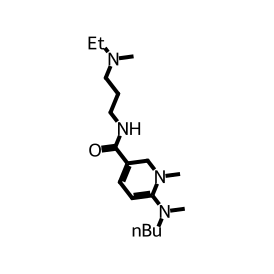 CCCCN(C)C1=CC=C(C(=O)NCCCN(C)CC)CN1C